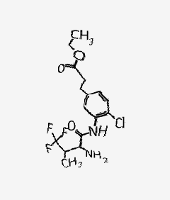 CCOC(=O)CCc1ccc(Cl)c(NC(=O)C(N)C(C)C(F)(F)F)c1